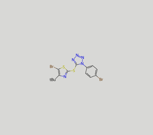 CC(C)(C)c1nc(Sc2nnnn2-c2ccc(Br)cc2)sc1Br